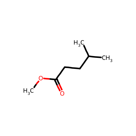 COC(=O)CCC(C)C